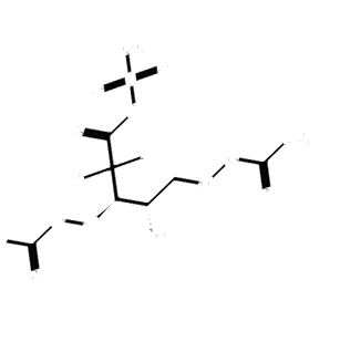 CS(=O)(=O)OC(=O)C(F)(F)[C@H](OOC(=O)C(Cl)(Cl)Cl)[C@@H](O)COOC(=O)C(Cl)(Cl)Cl